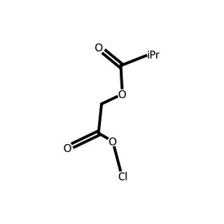 CC(C)C(=O)OCC(=O)OCl